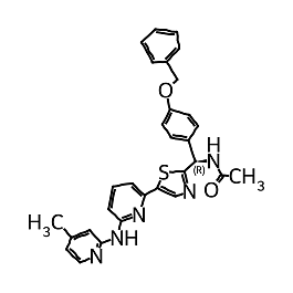 CC(=O)N[C@H](c1ccc(OCc2ccccc2)cc1)c1ncc(-c2cccc(Nc3cc(C)ccn3)n2)s1